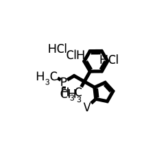 CP(C)CC(C)(C1=[C]([V])CC=C1)c1ccccc1.Cl.Cl.Cl